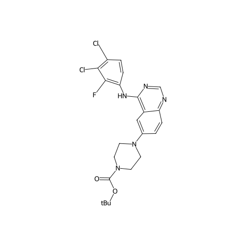 CC(C)(C)OC(=O)N1CCN(c2ccc3ncnc(Nc4ccc(Cl)c(Cl)c4F)c3c2)CC1